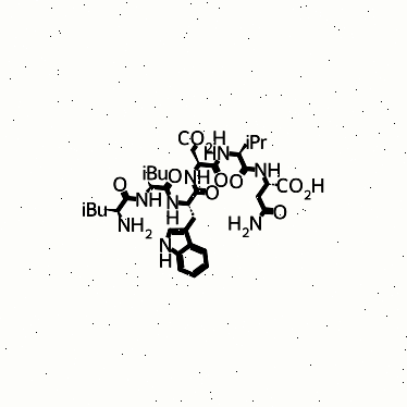 CC[C@H](C)[C@H](N)C(=O)N[C@H](C(=O)N[C@@H](Cc1c[nH]c2ccccc12)C(=O)N[C@@H](CC(=O)O)C(=O)N[C@H](C(=O)N[C@@H](CC(N)=O)C(=O)O)C(C)C)[C@@H](C)CC